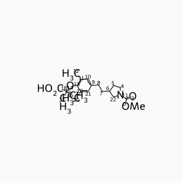 COC(=O)N1CCC(CCc2cc(C)c(OC(C)(C)C(=O)O)c(C)c2)C1